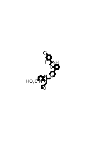 O=C(O)c1ccc2nc(CN3CCC(c4cccc5c4OCC(c4ccc(Cl)cc4F)N5)CC3)n(CC3CCO3)c2n1